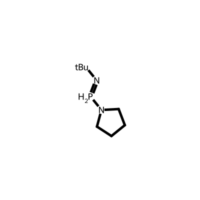 CC(C)(C)/N=[PH2]/N1CCCC1